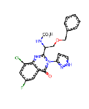 O=C(O)NC(COCc1ccccc1)c1nc2c(Cl)cc(F)cc2c(=O)n1-c1cc[nH]n1